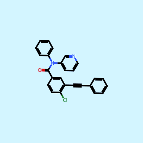 O=C(c1ccc(Cl)c(C#Cc2ccccc2)c1)N(c1ccccc1)c1cccnc1